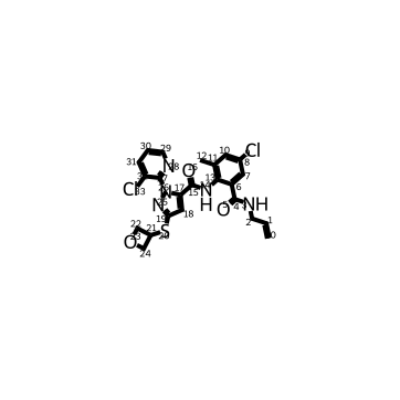 C=CCNC(=O)c1cc(Cl)cc(C)c1NC(=O)c1cc(SC2COC2)nn1-c1ncccc1Cl